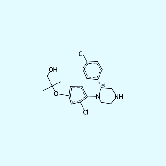 CC(C)(CO)Oc1ccc(N2CCNC[C@H]2c2ccc(Cl)cc2)c(Cl)c1